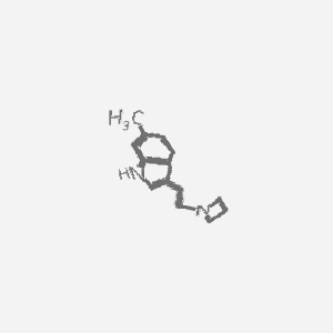 Cc1ccc2c(CCN3CCC3)c[nH]c2c1